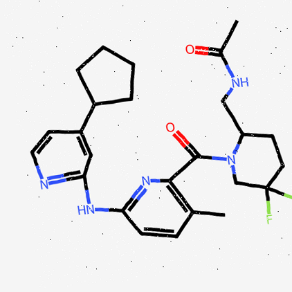 CC(=O)NCC1CCC(F)(F)CN1C(=O)c1nc(Nc2cc(C3CCCC3)ccn2)ccc1C